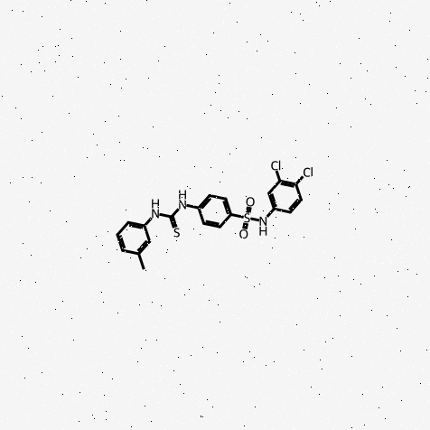 Cc1cccc(NC(=S)Nc2ccc(S(=O)(=O)Nc3ccc(Cl)c(Cl)c3)cc2)c1